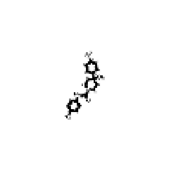 O=C(Nc1ccc(Cl)cc1)N1CCC(O)(c2ccc(Br)cc2)CC1